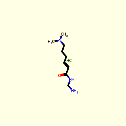 CN(C)CCCC=CC(=O)NCN.Cl